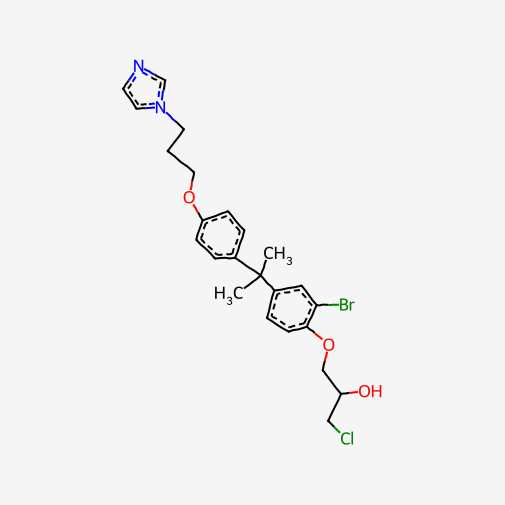 CC(C)(c1ccc(OCCCn2ccnc2)cc1)c1ccc(OCC(O)CCl)c(Br)c1